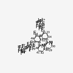 F[P-](F)(F)(F)(F)F.F[P-](F)(F)(F)(F)F.F[P-](F)(F)(F)(F)F.Fc1ccc(-c2ccccn2)cc1.Fc1ccc(-c2ccccn2)cc1.[Ir+3]